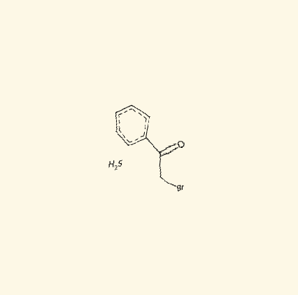 O=C(CBr)c1ccccc1.S